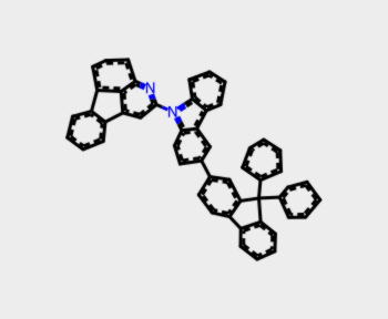 c1ccc(C2(c3ccccc3)c3ccccc3-c3ccc(-c4ccc5c(c4)c4ccccc4n5-c4cc5c6c(cccc6n4)-c4ccccc4-5)cc32)cc1